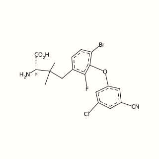 CC(C)(Cc1ccc(Br)c(Oc2cc(Cl)cc(C#N)c2)c1F)[C@H](N)C(=O)O